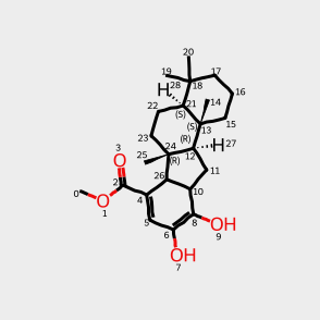 COC(=O)C1=CC(O)=C(O)C2C[C@@H]3[C@@]4(C)CCCC(C)(C)[C@@H]4CC[C@@]3(C)C12